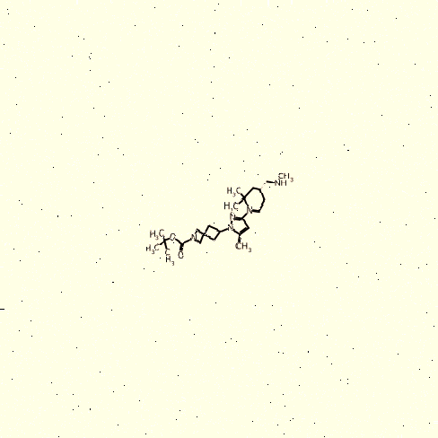 CNC[C@@H]1CCN(c2cc(C)n(C3CC4(C3)CN(C(=O)OC(C)(C)C)C4)n2)C(C)(C)C1